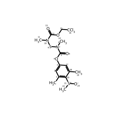 Cc1cc(OC(=O)N(C)SN(C)C(=O)OCC(Cl)(Cl)Cl)cc(C)c1[S+](C)[O-]